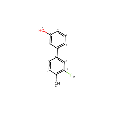 N#Cc1ccc(-c2cccc(O)c2)cc1F